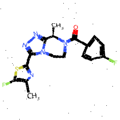 Cc1nc(-c2nnc3n2CCN(C(=O)c2ccc(F)cc2)[C@@H]3C)sc1F